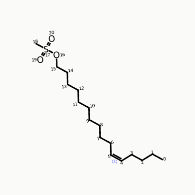 CCCC/C=C\CCCCCCCCCCOS(C)(=O)=O